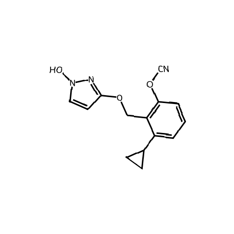 N#COc1cccc(C2CC2)c1COc1ccn(O)n1